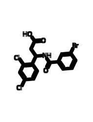 O=C(O)CC(NC(=O)c1cccc(Br)c1)c1ccc(Cl)cc1Cl